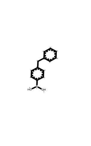 OB(O)c1ccc(Cc2ccccc2)cc1